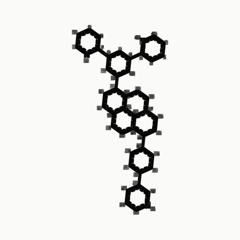 c1ccc(-c2cc(-c3ccccn3)cc(-c3ccc4ccc5c(-c6ccc(-c7cccnc7)cc6)ccc6ccc3c4c65)c2)nc1